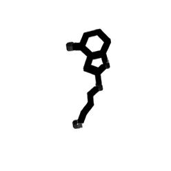 O=C1CCCc2sc(SCCCCl)cc21